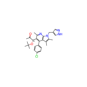 CC(=O)[C@@H](OC(C)(C)C)c1c(C)nc2c(c(C)c(C)n2Cc2cn[nH]c2)c1-c1ccc(Cl)cc1